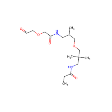 CCC(=O)NCC(C)(C)COCC(C)CNC(=O)COCC=O